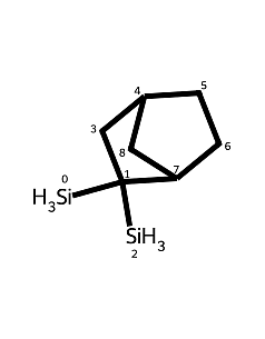 [SiH3]C1([SiH3])CC2CCC1C2